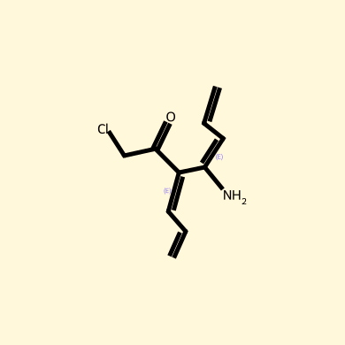 C=C/C=C(N)\C(=C/C=C)C(=O)CCl